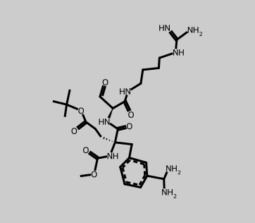 COC(=O)N[C@](CCC(=O)OC(C)(C)C)(Cc1cccc(C(N)N)c1)C(=O)N[C@@H](C=O)C(=O)NCCCCNC(=N)N